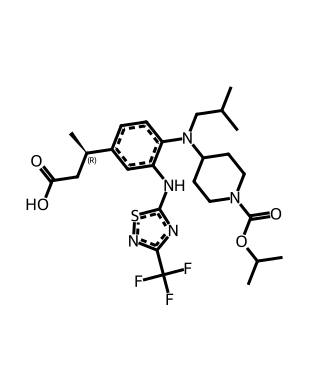 CC(C)CN(c1ccc([C@H](C)CC(=O)O)cc1Nc1nc(C(F)(F)F)ns1)C1CCN(C(=O)OC(C)C)CC1